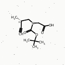 C#C[C@H](C)CN(CC(=O)O)C(=O)OC(C)(C)C